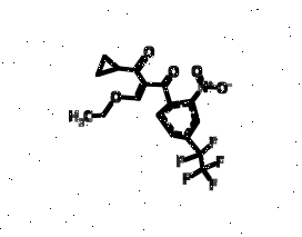 CCOC=C(C(=O)c1ccc(C(F)(F)C(F)(F)F)cc1[N+](=O)[O-])C(=O)C1CC1